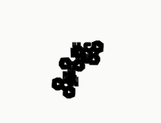 CC1(C)c2ccccc2-c2cccc(-n3c4ccccc4c4c5c6ccccc6n(-c6cnc7c8ccccc8c8ccccc8c7n6)c5ccc43)c21